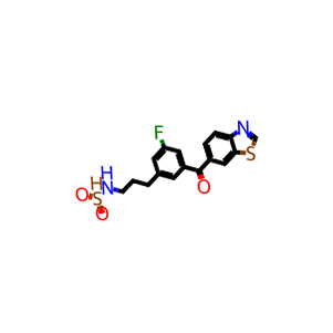 O=C(c1cc(F)cc(CCCN[SH](=O)=O)c1)c1ccc2ncsc2c1